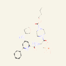 CCCCOC(=O)N1CCN(C(=O)[C@H](CP(=O)(O)O)NC(=O)c2cc(N[C@@H]3CCOC3)cc(-c3ccccc3)n2)CC1